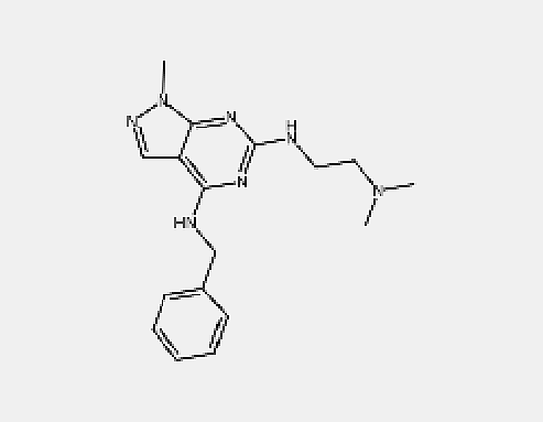 CN(C)CCNc1nc(NCc2ccccc2)c2cnn(C)c2n1